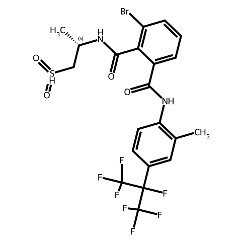 Cc1cc(C(F)(C(F)(F)F)C(F)(F)F)ccc1NC(=O)c1cccc(Br)c1C(=O)N[C@@H](C)C[SH](=O)=O